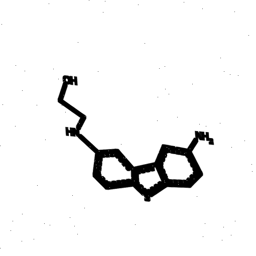 Nc1ccc2sc3ccc(NCCO)cc3c2c1